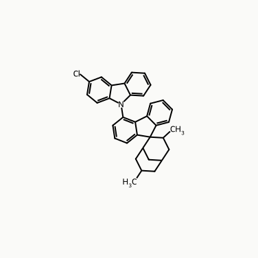 CC1CC2CC(C)C3(c4ccccc4-c4c(-n5c6ccccc6c6cc(Cl)ccc65)cccc43)C(C1)C2